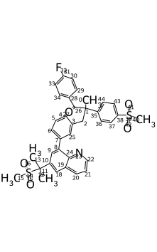 CC(Cc1cccc(-c2cc(C(C)(C)S(C)(=O)=O)cc3cccnc23)c1)(C(=O)c1ccc(F)cc1)c1ccc(S(C)(=O)=O)cc1